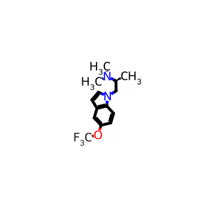 C[C@@H](Cn1ccc2cc(OC(F)(F)F)ccc21)N(C)C